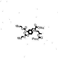 CCCC(C)C(=O)OC(C)CN[C@@H](Cc1ccc(OC(=O)OCC(C)(C)C)c(OC(=O)OCC(C)(C)C)c1)C(=O)OC